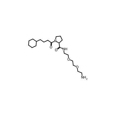 NCCOCCOCCNC(=O)C1CCCN1C(=O)CCCC1CCCCC1